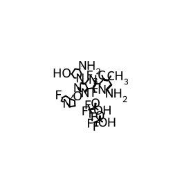 Cc1cc(N)nc(-c2ncc3c(N4C[C@@H](N)C[C@H](O)C4)nc(OC[C@@]45CCCN4C[C@H](F)C5)nc3c2F)c1C(F)(F)F.O=C(O)C(F)(F)F.O=C(O)C(F)(F)F